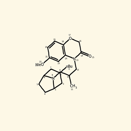 CCCCC1CC2CCC(C1)N2CC(C)CN1C(=O)COc2ccc(OC)cc21